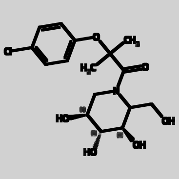 CC(C)(Oc1ccc(Cl)cc1)C(=O)N1C[C@H](O)[C@@H](O)[C@H](O)C1CO